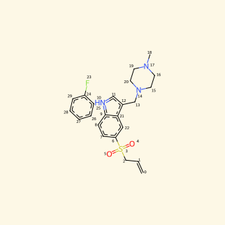 C=CCS(=O)(=O)c1ccc2[nH]cc(CN3CCN(C)CC3)c2c1.Fc1ccccc1